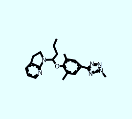 CCCC(Oc1c(C)cc(-c2nnn(C)n2)cc1C)N1CCc2cccnc21